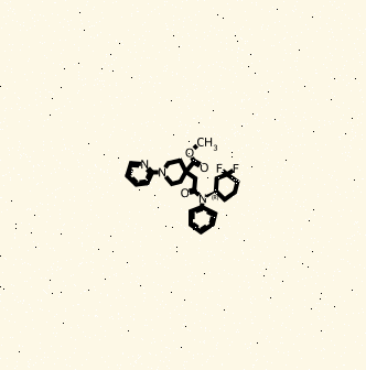 COC(=O)C1(CC(=O)N(c2ccccc2)[C@@H]2CCCC(F)(F)C2)CCN(c2ccccn2)CC1